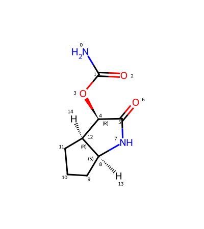 NC(=O)O[C@H]1C(=O)N[C@H]2CCC[C@H]21